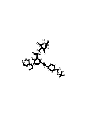 CCN(c1cc(C#CC2CCN(C(=O)OC(C)(C)C)CC2)cc(C(=O)OCc2c(C)cc(C)[nH]c2=O)c1C)C1CCOCC1